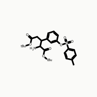 Cc1ccc(S(=O)(=O)Oc2cccc(C(CC(=O)OC(C)(C)C)C(N)C(=O)OC(C)(C)C)c2)cc1